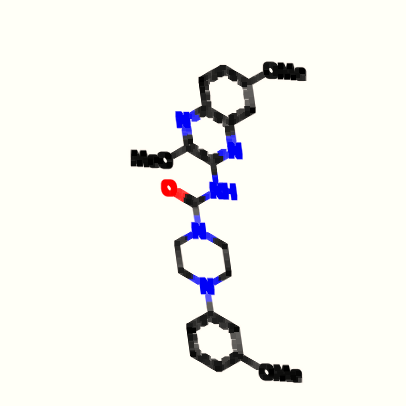 COc1cccc(N2CCN(C(=O)Nc3nc4cc(OC)ccc4nc3OC)CC2)c1